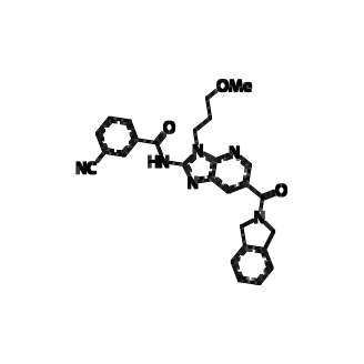 COCCCn1c(NC(=O)c2cccc(C#N)c2)nc2cc(C(=O)N3Cc4ccccc4C3)cnc21